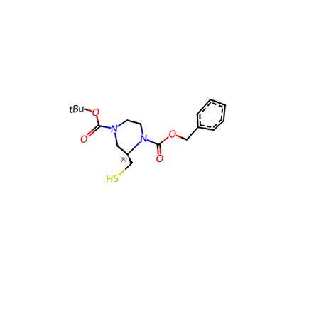 CC(C)(C)OC(=O)N1CCN(C(=O)OCc2ccccc2)[C@@H](CS)C1